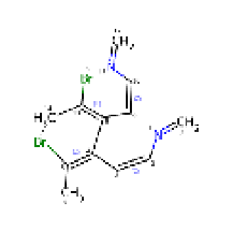 C=N\C=C/C(=C(\C)Br)C(/C=C\N=C)=C(\C)Br